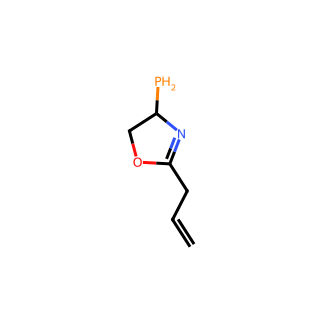 C=CCC1=NC(P)CO1